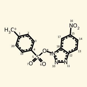 Cc1ccc(S(=O)(=O)On2nnc3ccc([N+](=O)[O-])cc32)cc1